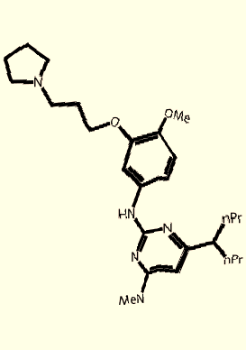 CCCC(CCC)c1cc(NC)nc(Nc2ccc(OC)c(OCCCN3CCCC3)c2)n1